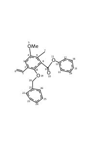 C=Cc1cc(OC)c(C)c(C(=O)Oc2ccccc2)c1OCc1ccccc1